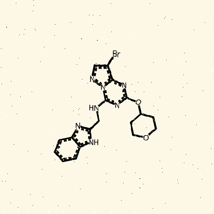 Brc1cnn2c(NCc3nc4ccccc4[nH]3)nc(OC3CCOCC3)nc12